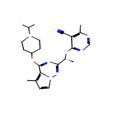 Cc1ccn2nc([C@H](C)Nc3ncnc(N)c3C#N)nc(OC3CCN(C(C)C)CC3)c12